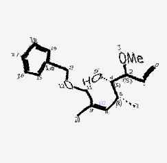 C=C[C@H](OC)[C@@H](O)[C@H](C)/C=C(/C)COCc1ccccc1